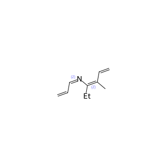 C=C/C=N\C(CC)=C(\C)C=C